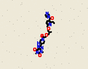 CCc1nc(COCC(C)COCC(=O)N2CCC(c3nc4c([nH]3)c(=O)n(C)c(=O)n4C)CC2)ccc1C(=O)n1ccnc1